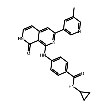 Cc1cncc(-c2cc3cc[nH]c(=O)c3c(Nc3ccc(C(=O)NC4CC4)cc3)n2)c1